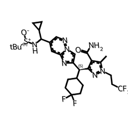 Cc1c(C(N)=O)c([C@H](c2cn3ncc(C(N[S@@+]([O-])C(C)(C)C)C4CC4)cc3n2)C2CCC(F)(F)CC2)nn1CCC(F)(F)F